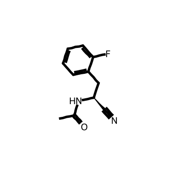 CC(=O)N[C@H](C#N)Cc1ccccc1F